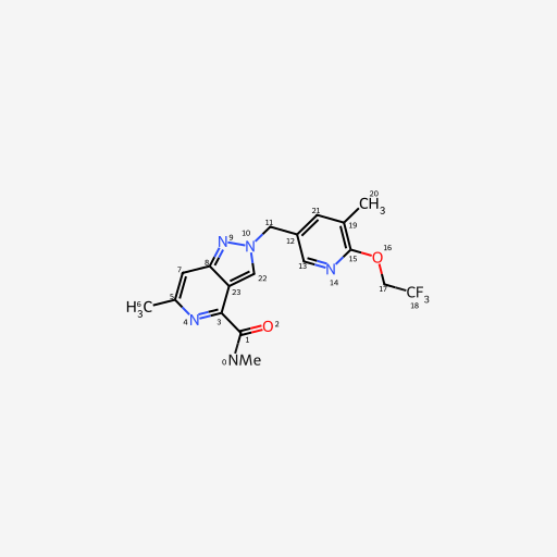 CNC(=O)c1nc(C)cc2nn(Cc3cnc(OCC(F)(F)F)c(C)c3)cc12